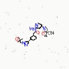 CC1(Cn2cc(-c3cccc(CC(=O)Nc4cc(N5CC[C@@](C#N)(C6CC6)C5=O)ccn4)c3)cn2)COC1